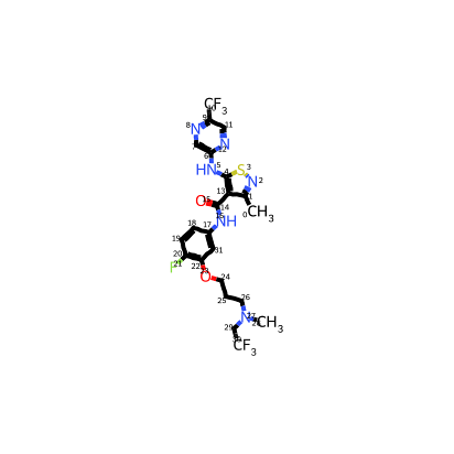 Cc1nsc(Nc2cnc(C(F)(F)F)cn2)c1C(=O)Nc1ccc(F)c(OCCCN(C)CC(F)(F)F)c1